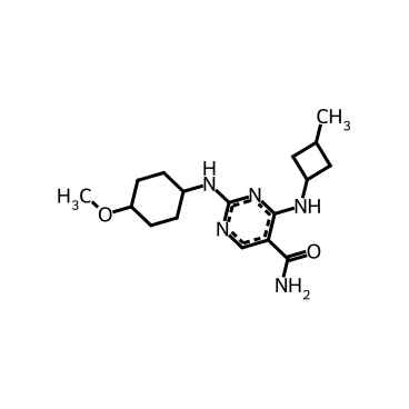 COC1CCC(Nc2ncc(C(N)=O)c(NC3CC(C)C3)n2)CC1